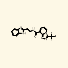 O=C(NCCc1nc2ccccc2[nH]1)c1cccn2c(C(F)(F)F)nnc12